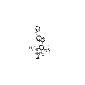 COc1cc(-c2cnc3cc(OC4CC5CCC4C5)ccn23)cc(OC(F)F)c1C(=O)NC1CC1